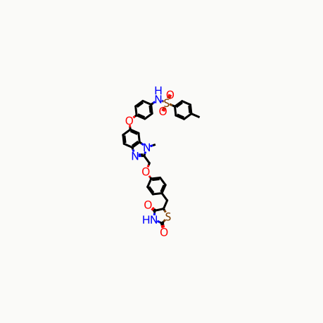 Cc1ccc(S(=O)(=O)Nc2ccc(Oc3ccc4nc(COc5ccc(CC6SC(=O)NC6=O)cc5)n(C)c4c3)cc2)cc1